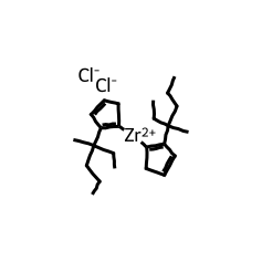 CCCC(C)(CC)C1=[C]([Zr+2][C]2=C(C(C)(CC)CCC)C=CC2)CC=C1.[Cl-].[Cl-]